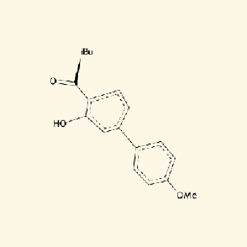 CC[C@H](C)C(=O)c1ccc(-c2ccc(OC)cc2)cc1O